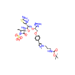 C[C@H]1[C@H](NC(=O)/C(=N\OC(COc2ccc(-c3cn(CCCNC(=O)OC(C)(C)C)[n+](C)c3)cc2)c2nn[nH]n2)c2csc(N)n2)C(=O)N1S(=O)(=O)O